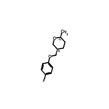 C[C@H]1CC[C@@H](COc2ccc(F)cc2)CO1